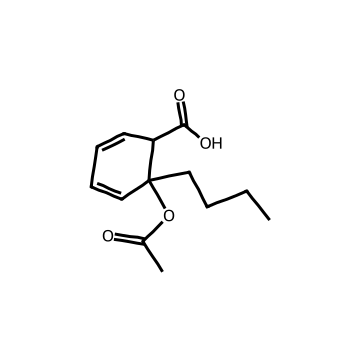 CCCCC1(OC(C)=O)C=CC=CC1C(=O)O